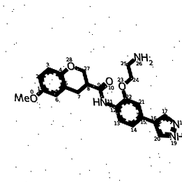 COc1ccc2c(c1)CC(C(=O)Nc1ccc(-c3cn[nH]c3)cc1OCCN)CO2